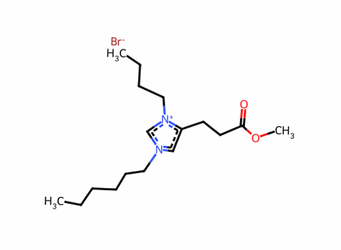 CCCCCCn1cc(CCC(=O)OC)[n+](CCCC)c1.[Br-]